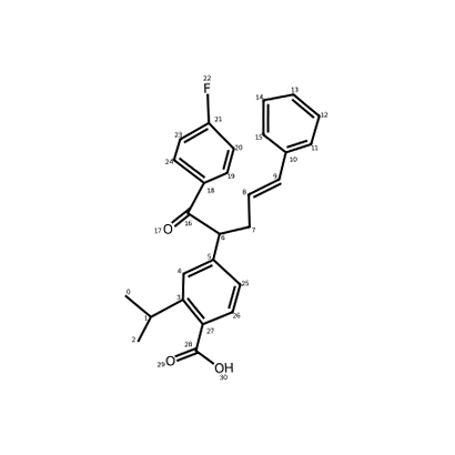 CC(C)c1cc(C(C/C=C/c2ccccc2)C(=O)c2ccc(F)cc2)ccc1C(=O)O